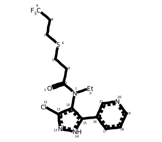 CCN(C(=O)CCSCCC(F)(F)F)c1c(Cl)n[nH]c1-c1cccnc1